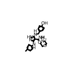 C1COCCN1.Cc1ccc(Nc2n[nH]c(NCc3ccc(O)cc3)c2C(N)=O)cc1